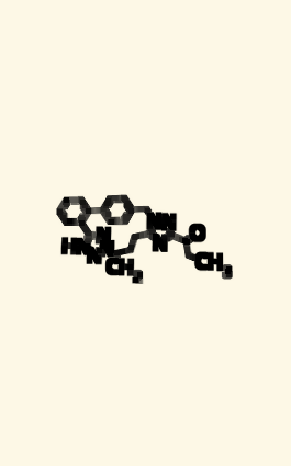 C=CCCc1nc(C(=O)CC)nn1Cc1ccc(-c2ccccc2-c2nnn[nH]2)cc1